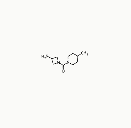 CC1CCN(C(=O)N2CC(N)C2)CC1